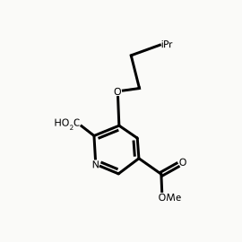 COC(=O)c1cnc(C(=O)O)c(OCCC(C)C)c1